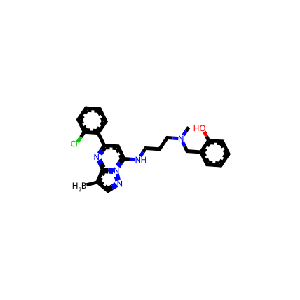 Bc1cnn2c(NCCCN(C)Cc3ccccc3O)cc(-c3ccccc3Cl)nc12